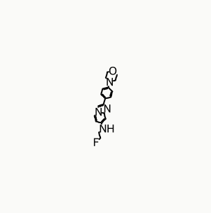 FCCNc1ccn2cc(-c3ccc(N4CCOCC4)cc3)nc2c1